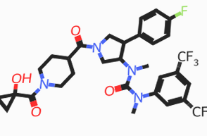 CN(C(=O)N(C)C1CN(C(=O)C2CCN(C(=O)C3(O)CC3)CC2)CC1c1ccc(F)cc1)c1cc(C(F)(F)F)cc(C(F)(F)F)c1